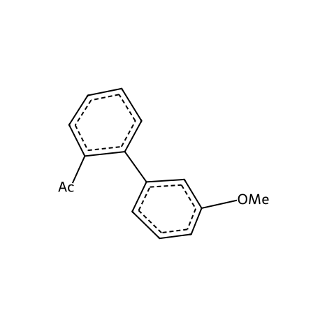 COc1cccc(-c2ccccc2C(C)=O)c1